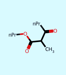 [CH2]CCC(=O)C(C)C(=O)OCCC